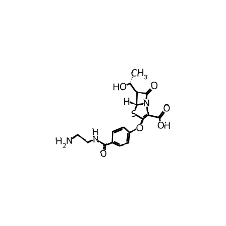 C[C@@H](O)[C@H]1C(=O)N2C(C(=O)O)=C(Oc3ccc(C(=O)NCCN)cc3)S[C@H]12